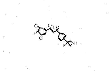 O=C(/C=C(/c1cc(Cl)c(F)c(Cl)c1)C(F)(F)F)c1ccc(C2(F)CNC2)cc1